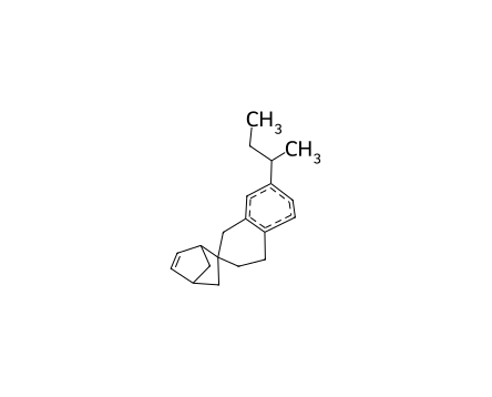 CCC(C)c1ccc2c(c1)CC1(CC2)CC2C=CC1C2